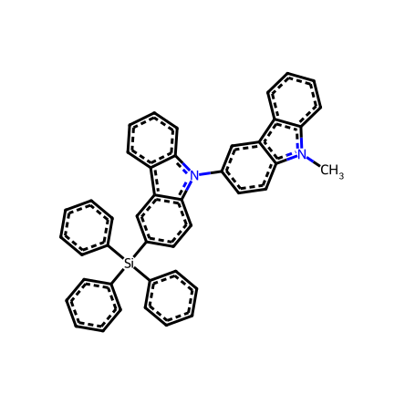 Cn1c2ccccc2c2cc(-n3c4ccccc4c4cc([Si](c5ccccc5)(c5ccccc5)c5ccccc5)ccc43)ccc21